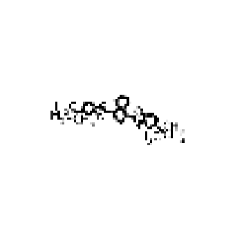 CC(C)(C)c1ccc2oc(-c3ccc(-c4nc5cc(C(C)(C)C)ccc5o4)c4ccccc34)nc2c1